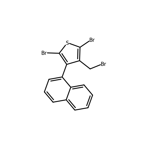 BrCc1c(Br)sc(Br)c1-c1cccc2ccccc12